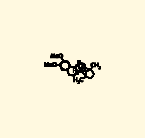 COc1cc2ccc3c4c(cnc3c2cc1OC)C1(C)CCC4(C)C1(C)C